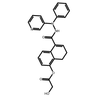 O=C(CO)Oc1cccc2c1CCC=C2C(=O)NN(c1ccccc1)c1cccnc1